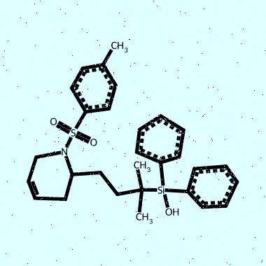 Cc1ccc(S(=O)(=O)N2CC=CCC2CCC(C)(C)[Si](O)(c2ccccc2)c2ccccc2)cc1